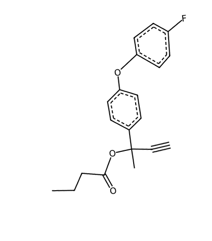 C#CC(C)(OC(=O)CCC)c1ccc(Oc2ccc(F)cc2)cc1